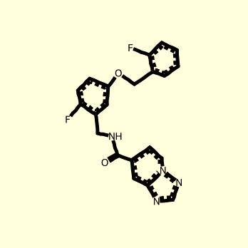 O=C(NCc1cc(OCc2ccccc2F)ccc1F)c1ccn2ncnc2c1